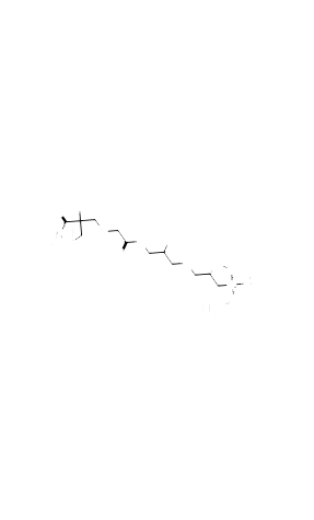 CO[Si](CCCOCC(O)COC(=O)CSCC(C)(CO)C(N)=O)(OC)OC